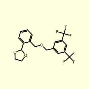 FC(F)(F)c1cc(COCc2ccccc2C2OCCO2)cc(C(F)(F)F)c1